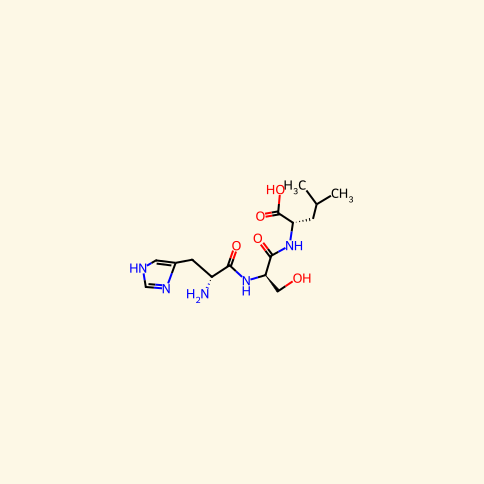 CC(C)C[C@H](NC(=O)[C@@H](CO)NC(=O)[C@H](N)Cc1c[nH]cn1)C(=O)O